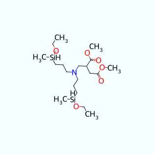 CCO[SiH](C)CCCN(CCC[SiH](C)OCC)CC(CC(=O)OC)C(=O)OC